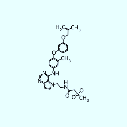 C=C(C)COc1cccc(Oc2ccc(Nc3ncnc4ccn(CCNC(=O)CS(C)(=O)=O)c34)cc2C)c1